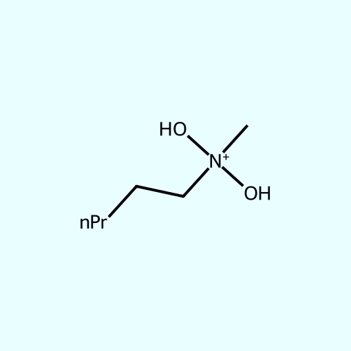 CCCCC[N+](C)(O)O